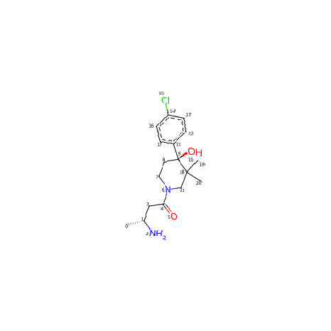 C[C@@H](N)CC(=O)N1CC[C@](O)(c2ccc(Cl)cc2)C(C)(C)C1